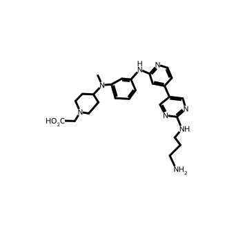 CN(c1cccc(Nc2cc(-c3cnc(NCCCN)nc3)ccn2)c1)C1CCN(CC(=O)O)CC1